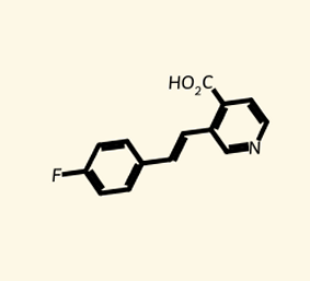 O=C(O)c1ccncc1C=Cc1ccc(F)cc1